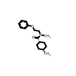 CN(CCOc1ccccc1)C(=O)[C@H]1CC[C@H](C)CC1